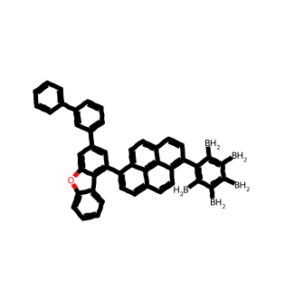 Bc1c(B)c(B)c(-c2ccc3ccc4c(-c5cc(-c6cccc(-c7ccccc7)c6)cc6oc7ccccc7c56)ccc5ccc2c3c54)c(B)c1B